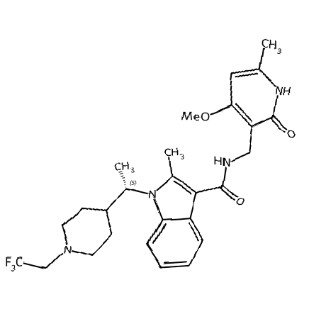 COc1cc(C)[nH]c(=O)c1CNC(=O)c1c(C)n([C@@H](C)C2CCN(CC(F)(F)F)CC2)c2ccccc12